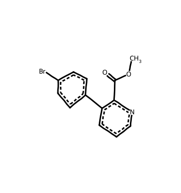 COC(=O)c1ncccc1-c1ccc(Br)cc1